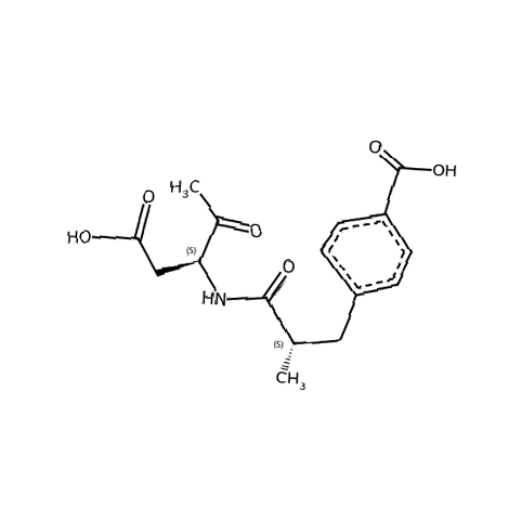 CC(=O)[C@H](CC(=O)O)NC(=O)[C@@H](C)Cc1ccc(C(=O)O)cc1